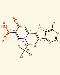 Cc1cccc2c3c(oc12)-c1cc(=O)c(C(=O)O)cn1C(C(C)(C)C)C3